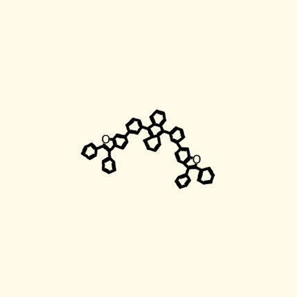 c1ccc(-c2oc3cc(-c4cccc(-c5c6ccccc6c(-c6cccc(-c7ccc8c(-c9ccccc9)c(-c9ccccc9)oc8c7)c6)c6ccccc56)c4)ccc3c2-c2ccccc2)cc1